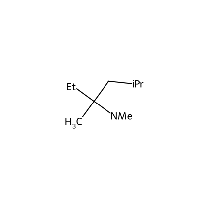 CCC(C)(CC(C)C)NC